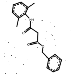 Cc1cccc(C)c1NC(=O)CC(=O)OCc1ccccc1